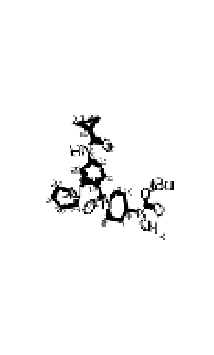 CN(C(=O)OC(C)(C)C)C1CCN(C(=O)c2ccc(NC(=O)C3CC3)cc2N2CCCC2)CC1